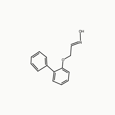 O/N=C/COc1ccccc1-c1ccccc1